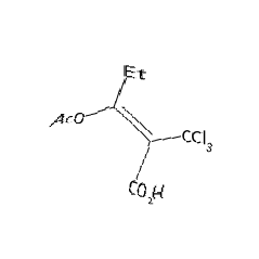 CCC(OC(C)=O)=C(C(=O)O)C(Cl)(Cl)Cl